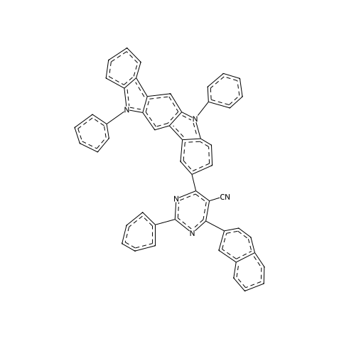 N#Cc1c(-c2ccc3ccccc3c2)nc(-c2ccccc2)nc1-c1ccc2c(c1)c1cc3c(cc1n2-c1ccccc1)c1ccccc1n3-c1ccccc1